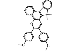 COc1ccc(C2=Cc3c4c(c5ccccc5c3OC2c2ccc(OC)cc2)-c2ccccc2C4(C)C)cc1